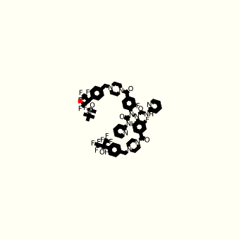 CC(C)(C)[Si](C)(C)OC(c1ccc(CN2CCN(C(=O)c3ccc(N(C(=O)Nc4ccccn4)N(C(=O)Nc4ccccn4)c4ccc(C(=O)N5CCN(Cc6ccc(C(O)(C(F)(F)F)C(F)(F)F)cc6)CC5)cc4F)c(F)c3)CC2)cc1)(C(F)(F)F)C(F)(F)F